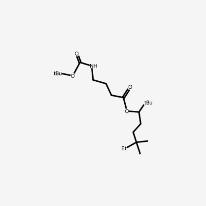 CCC(C)(C)CCC(OC(=O)CCCNC(=O)OC(C)(C)C)C(C)(C)C